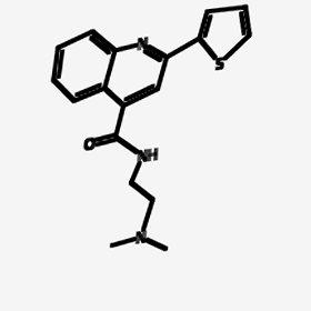 CN(C)CCNC(=O)c1cc(-c2cccs2)nc2ccccc12